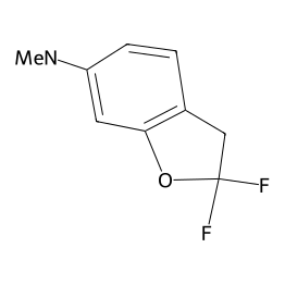 CNc1ccc2c(c1)OC(F)(F)C2